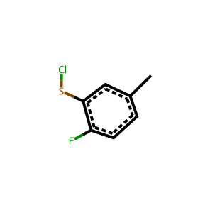 Cc1ccc(F)c(SCl)c1